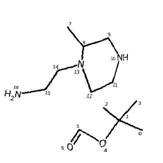 CC(C)(C)OC=O.CC1CNCCN1CCN